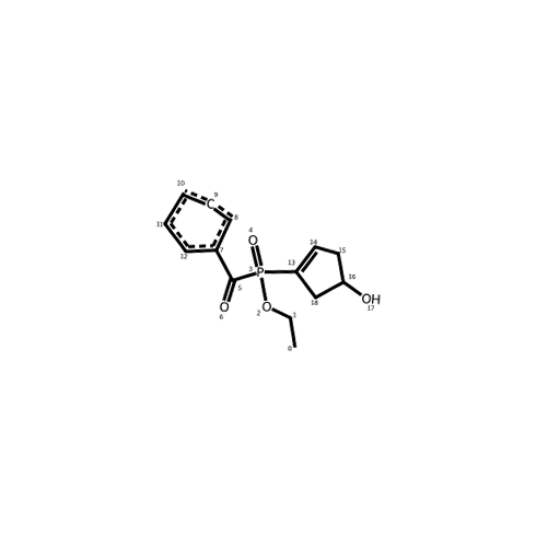 CCOP(=O)(C(=O)c1ccccc1)C1=CCC(O)C1